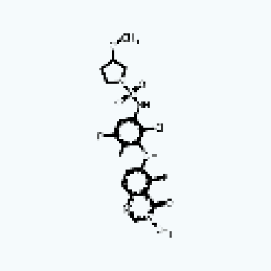 COC1CCN(S(=O)(=O)Nc2cc(F)c(F)c(Nc3ccc4ncn(C)c(=O)c4c3F)c2Cl)C1